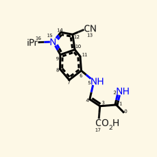 CC(=N)/C(=C\Nc1ccc2c(c1)c(C#N)cn2C(C)C)C(=O)O